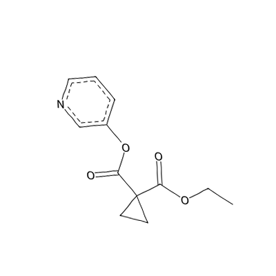 CCOC(=O)C1(C(=O)Oc2cccnc2)CC1